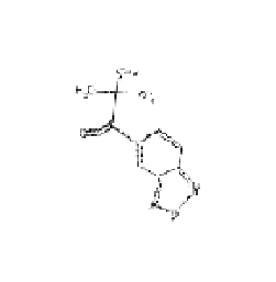 CC(C)(O)C(=O)c1ccc2nonc2c1